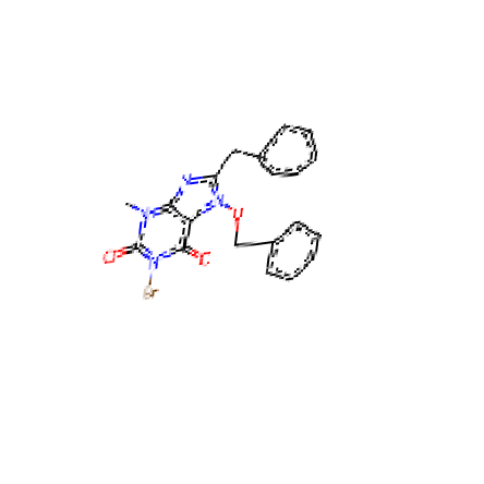 Cn1c(=O)n(Br)c(=O)c2c1nc(Cc1ccccc1)n2OCc1ccccc1